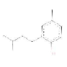 Cc1ccc(O)c(CCC(C)O)c1